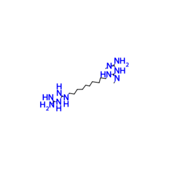 C/N=C(/N)N/C(=N/C)NCCCCCCCCCCNC(=N)NC(=N)N